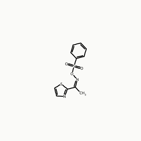 CC(=NOS(=O)(=O)c1ccccc1)c1nccs1